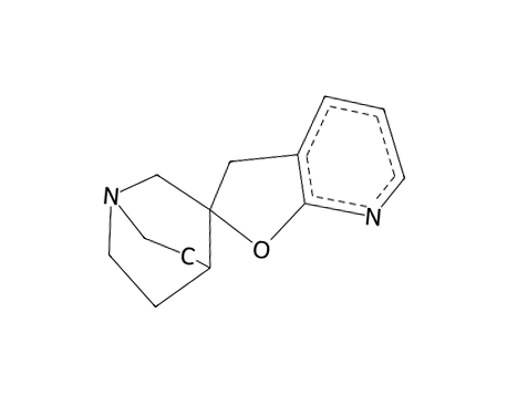 c1cnc2c(c1)CC1(CN3CCC1CC3)O2